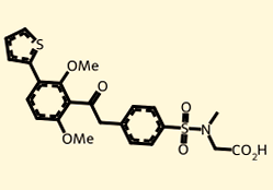 COc1ccc(-c2cccs2)c(OC)c1C(=O)Cc1ccc(S(=O)(=O)N(C)CC(=O)O)cc1